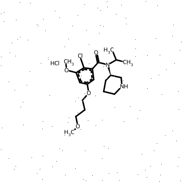 COCCCOc1cc(OC)c(Cl)c(C(=O)N(C(C)C)[C@@H]2CCCNC2)c1.Cl